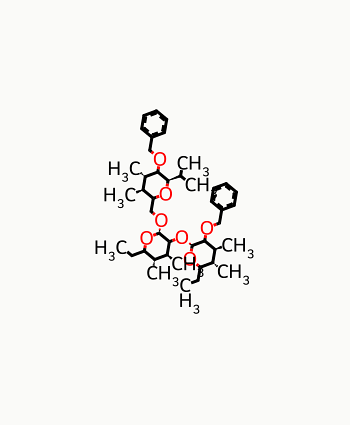 CCC1O[C@H](OC2[C@@H](OCC3O[C@H](C(C)C)C(OCc4ccccc4)[C@@H](C)[C@@H]3C)OC(CC)[C@@H](C)[C@@H]2C)C(OCc2ccccc2)[C@@H](C)[C@@H]1C